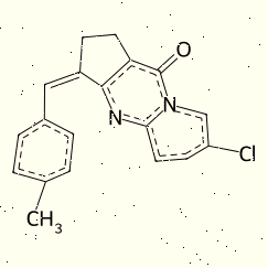 Cc1ccc(/C=C2/CCc3c2nc2ccc(Cl)cn2c3=O)cc1